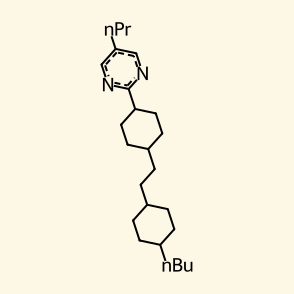 CCCCC1CCC(CCC2CCC(c3ncc(CCC)cn3)CC2)CC1